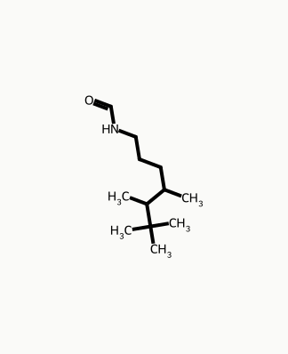 CC(CCCNC=O)C(C)C(C)(C)C